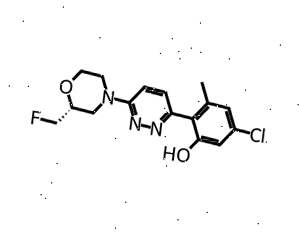 Cc1cc(Cl)cc(O)c1-c1ccc(N2CCO[C@@H](CF)C2)nn1